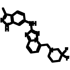 Cc1n[nH]c2cc(Nc3nc4cccc(CN5CCCC(F)(F)C5)n4n3)ccc12